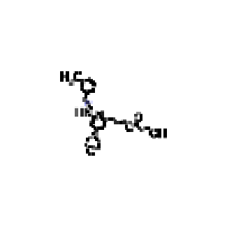 Cc1cccc(/C=N/Nc2cc(N3CCOCC3)cc(CCCOC(=O)CCO)n2)c1